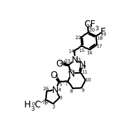 C[C@H]1CCN(C(=O)C2CCCc3nn(Cc4ccc(F)c(C(F)(F)F)c4)c(=O)n32)C1